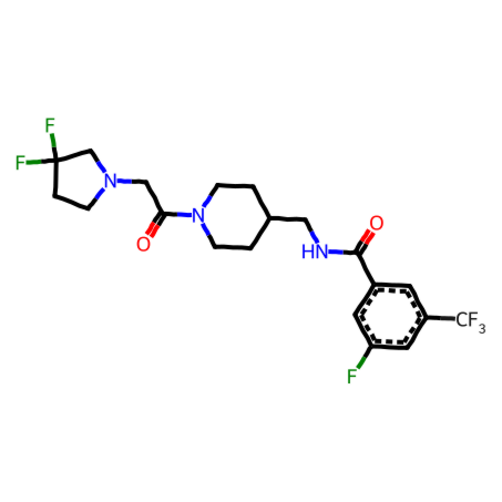 O=C(NCC1CCN(C(=O)CN2CCC(F)(F)C2)CC1)c1cc(F)cc(C(F)(F)F)c1